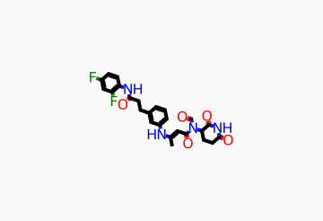 C/C(=C\C(=O)N(C=O)C1CCC(=O)NC1=O)Nc1cccc(CCC(=O)Nc2ccc(F)cc2F)c1